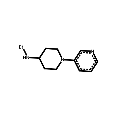 CCNC1CCN(c2cccnc2)CC1